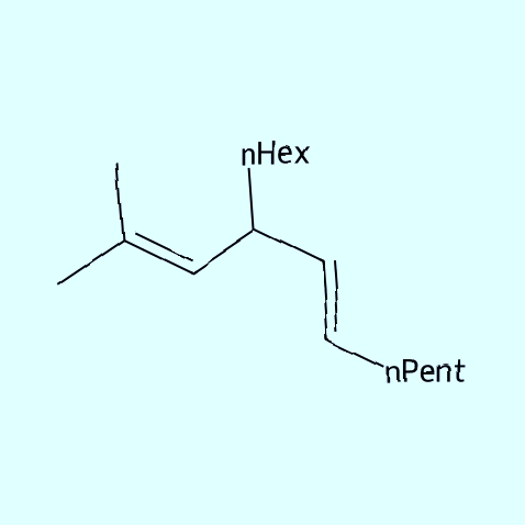 CCCCCC=CC(C=C(C)C)CCCCCC